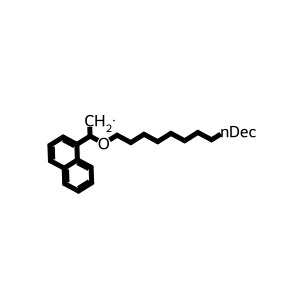 [CH2]C(OCCCCCCCCCCCCCCCCCC)c1cccc2ccccc12